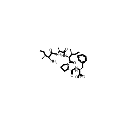 CC[C@H](C)[C@H](N)C(=O)N[C@@H](C)C(=O)N[C@H](C(=O)N1CCC[C@H]1C(=O)N[C@@H](Cc1ccccc1)C(=O)O)[C@@H](C)CC